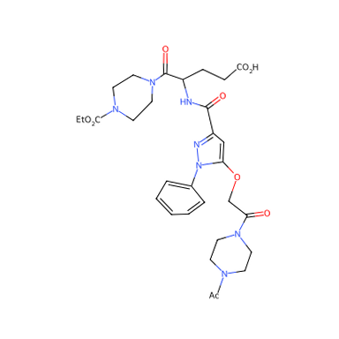 CCOC(=O)N1CCN(C(=O)C(CCC(=O)O)NC(=O)c2cc(OCC(=O)N3CCN(C(C)=O)CC3)n(-c3ccccc3)n2)CC1